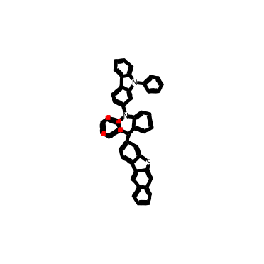 c1ccc(C(c2ccc3c(c2)sc2cc4ccccc4cc23)c2ccccc2N(c2ccccc2)c2ccc3c4ccccc4n(-c4ccccc4)c3c2)cc1